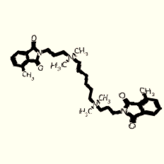 Cc1cccc2c1C(=O)N(CCC[N+](C)(C)CCCCCC[N+](C)(C)CCCN1C(=O)c3cccc(C)c3C1=O)C2=O